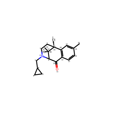 CC[C@@]12CCN(CC3CC3)C(C(=O)c3ccc(C)cc31)[C@@H]2C